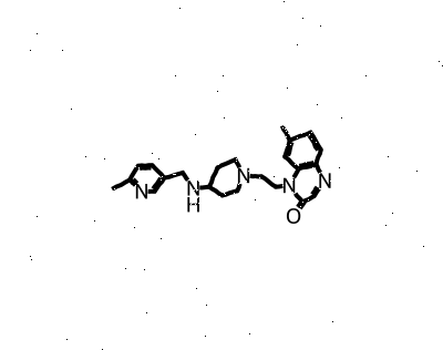 Cc1ccc2ncc(=O)n(CCN3CCC(NCc4ccc(C)nc4)CC3)c2c1